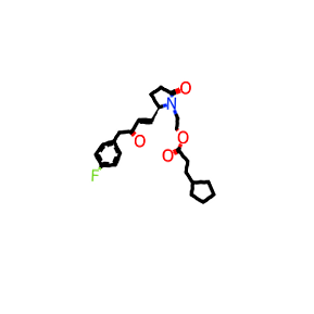 O=C(/C=C/[C@H]1CCC(=O)N1CCOC(=O)CCC1CCCC1)Cc1ccc(F)cc1